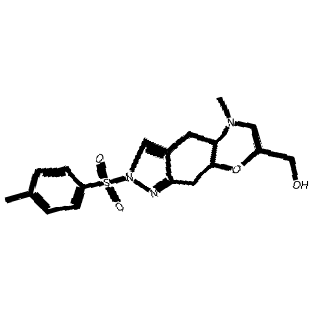 Cc1ccc(S(=O)(=O)n2cc3c(n2)CC2OC(CO)CN(C)C2C3)cc1